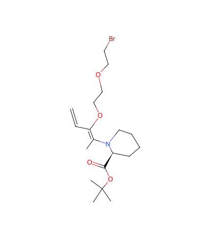 C=CC(OCCOCCBr)=C(C)N1CCCC[C@H]1C(=O)OC(C)(C)C